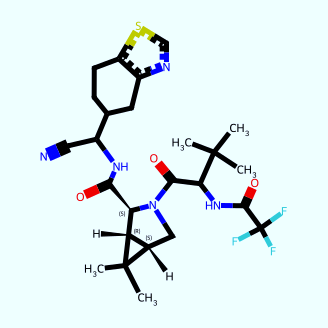 CC(C)(C)C(NC(=O)C(F)(F)F)C(=O)N1C[C@H]2[C@@H]([C@H]1C(=O)NC(C#N)C1CCc3scnc3C1)C2(C)C